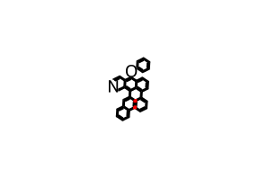 c1ccc(Oc2c3ccncc3c(-c3ccc4ccccc4c3)c3c(-c4ccccc4)cccc23)cc1